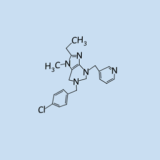 CCc1nc2c(n1C)CN(Cc1ccc(Cl)cc1)CN2Cc1cccnc1